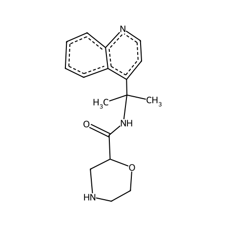 CC(C)(NC(=O)C1CNCCO1)c1ccnc2ccccc12